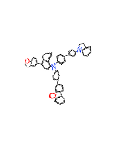 c1ccc2c(c1)CCN2c1ccc(-c2ccc(N(c3ccc(-c4ccc5c(c4)oc4ccccc45)cc3)c3ccc(-c4ccc5c(c4)CCO5)c4ccccc34)cc2)cc1